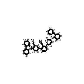 N#Cc1cc(-c2cccc(-c3ccc(-n4c5ccccc5c5ccccc54)cn3)c2C#N)ccc1-n1c2ccccc2c2ccccc21